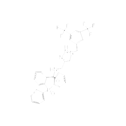 O=C(NCC1=NNN(Cc2cc(C(F)(F)F)cc(C(F)(F)F)c2)C1)c1ccccc1P(=O)(c1ccccc1)c1ccccc1